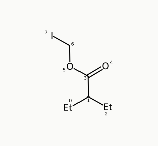 CCC(CC)C(=O)OCI